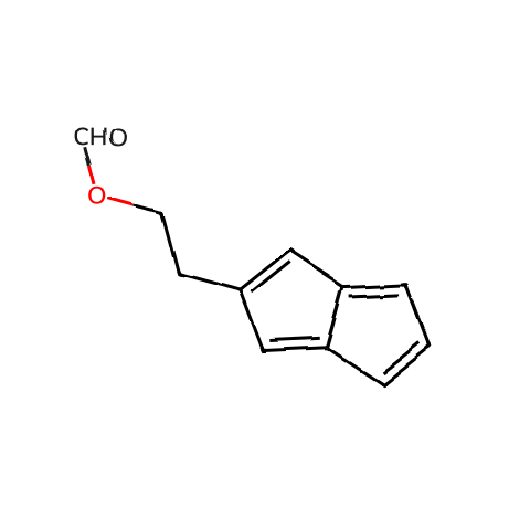 O=COCCC1=CC2=CC=CC2=C1